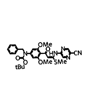 COc1cc(N(Cc2ccccc2)C(=O)OC(C)(C)C)cc(OC)c1C(=O)C=C(Nc1cnc(C#N)cn1)SC